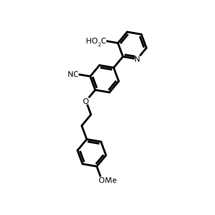 COc1ccc(CCOc2ccc(-c3ncccc3C(=O)O)cc2C#N)cc1